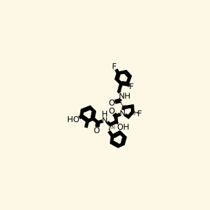 Cc1c(O)cccc1C(=O)N[C@@H](Cc1ccccc1)[C@H](O)C(=O)N1C[C@@H](F)C[C@H]1C(=O)NCc1cc(F)ccc1F